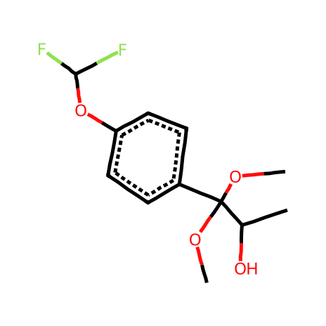 COC(OC)(c1ccc(OC(F)F)cc1)C(C)O